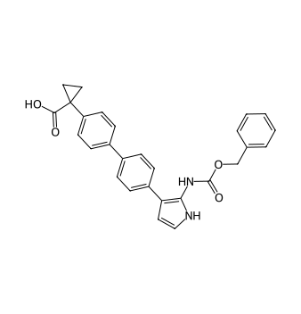 O=C(Nc1[nH]ccc1-c1ccc(-c2ccc(C3(C(=O)O)CC3)cc2)cc1)OCc1ccccc1